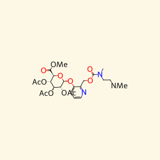 CNCCN(C)C(=O)OCc1ncccc1O[C@@H]1O[C@H](C(=O)OC)[C@@H](OC(C)=O)[C@H](OC(C)=O)[C@H]1OC(C)=O